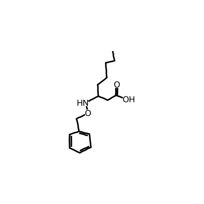 CCCCCC(CC(=O)O)NOCc1ccccc1